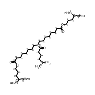 CCCCCCC(CCCCCC)CCCOC(=O)CCCCCCCP(CCCCCCCC(=O)OCCCC(CCCCCC)CCCCCC)C(=O)CCCN(C)C